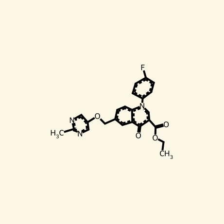 CCOC(=O)c1cn(-c2ccc(F)cc2)c2ccc(COc3cnc(C)nc3)cc2c1=O